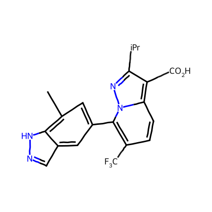 Cc1cc(-c2c(C(F)(F)F)ccc3c(C(=O)O)c(C(C)C)nn23)cc2cn[nH]c12